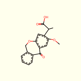 COc1cc2c(cc1C(C)C(=O)O)OCc1ccccc1C2=O